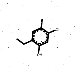 CCc1cc(C)c(Cl)cc1O